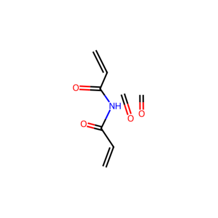 C=CC(=O)NC(=O)C=C.C=O.C=O